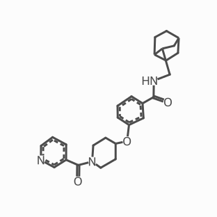 O=C(NCC1CC2CCC1CC2)c1cccc(OC2CCN(C(=O)c3cccnc3)CC2)c1